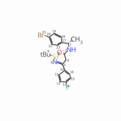 C[C@H](NCCC(=N[S+]([O-])C(C)(C)C)c1ccc(F)cc1)c1ccc(Br)cc1